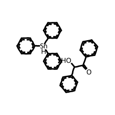 O=C(c1ccccc1)C(O)c1ccccc1.c1cc[c]([SnH]([c]2ccccc2)[c]2ccccc2)cc1